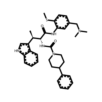 CSc1ccc(CN(C)C)cc1NC(=O)[C@H](NC(=O)N1CCC(c2ccccc2)CC1)[C@H](C)c1c[nH]c2ccccc12